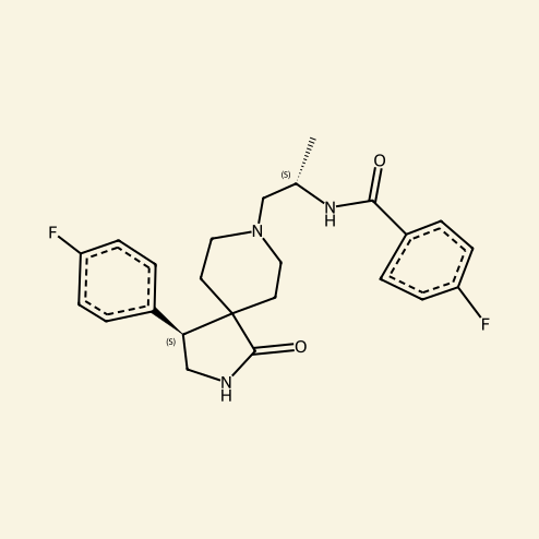 C[C@@H](CN1CCC2(CC1)C(=O)NC[C@H]2c1ccc(F)cc1)NC(=O)c1ccc(F)cc1